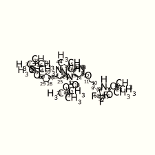 CC(C)(C)OC(=O)N[C@@H](CCCOc1cc(N(C(=O)OC(C)(C)C)c2cc([C@H]3CC[C@@H](O[Si](C)(C)C(C)(C)C)C3)nn2C(C)(C)C)ccn1)C(F)(F)F